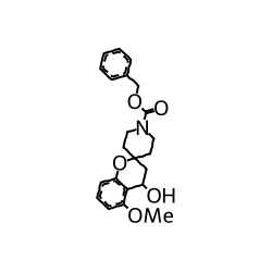 COc1cccc2c1C(O)CC1(CCN(C(=O)OCc3ccccc3)CC1)O2